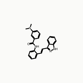 CN(C)c1cccc(C(=O)Nc2ccccc2/C=C/c2n[nH]c3ccccc23)c1